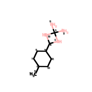 BC1(B)BC(C2CCC(C)CC2)B1